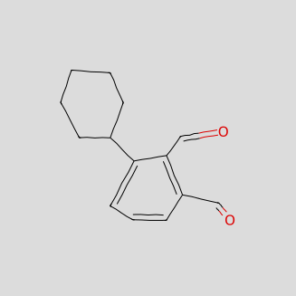 O=Cc1cccc(C2CCCCC2)c1C=O